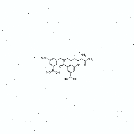 COc1cc(CN(CCCC[C@H](N)C(N)=O)C(=O)c2cc(Br)cc(B(O)O)c2)cc(B(O)O)c1